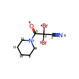 N#CC(Br)(Br)C(=O)N1CCCCC1